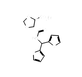 CCOC(=O)[C@@H]1OCO[C@H]1C(=O)NC(c1cccs1)c1cccs1